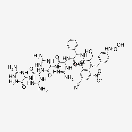 N#Cc1cc([N+](=O)[O-])c(N(Cc2ccc(NOO)cc2)C(CO)C(=O)NC(C(=O)NC(NC(=N)N)C(=O)NC(NC(=N)N)C(=O)NC(NC(=N)N)C(=O)NC(NC(=N)N)C(N)=O)c2ccccc2)c([N+](=O)[O-])c1